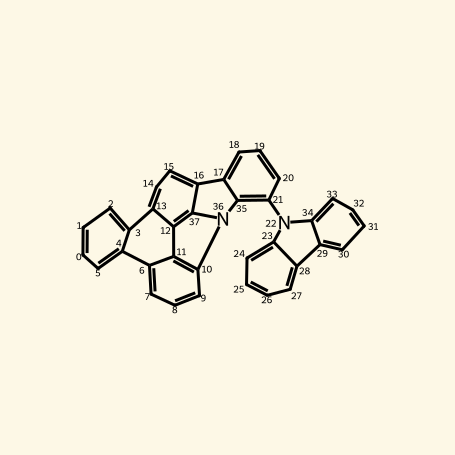 c1ccc2c(c1)c1cccc3c1c1c2ccc2c4cccc(-n5c6ccccc6c6ccccc65)c4n3c21